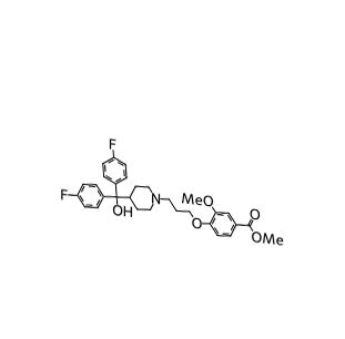 COC(=O)c1ccc(OCCCN2CCC(C(O)(c3ccc(F)cc3)c3ccc(F)cc3)CC2)c(OC)c1